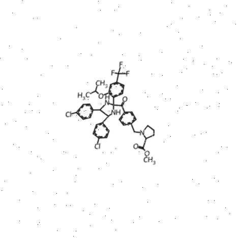 COC(=O)C1CCCN1Cc1ccc(C(=O)C2(c3ccc(C(F)(F)F)cc3OC(C)C)NC(c3ccc(Cl)cc3)C(c3ccc(Cl)cc3)N2)cc1